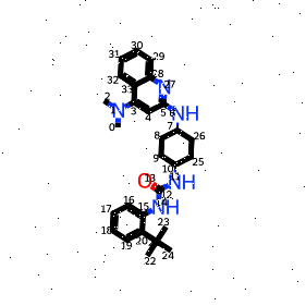 CN(C)c1cc(N[C@H]2CC[C@@H](NC(=O)Nc3ccccc3C(C)(C)C)CC2)nc2ccccc12